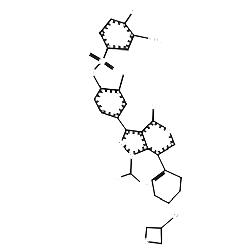 Cc1cc(S(=O)(=O)Nc2ccc(-c3nn(C(C)C)c4c(C5=CC[C@@H](NC6COC6)CC5)cnc(N)c34)cc2F)ccc1F